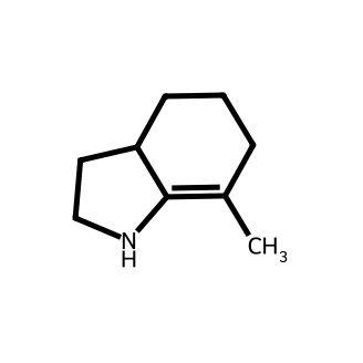 CC1=C2NCCC2CCC1